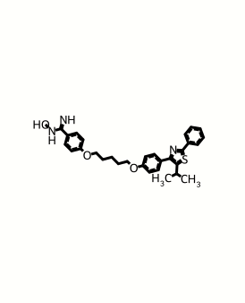 CC(C)c1sc(-c2ccccc2)nc1-c1ccc(OCCCCCOc2ccc(C(=N)NO)cc2)cc1